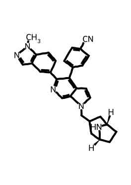 Cn1ncc2cc(-c3ncc4c(ccn4CC4C[C@H]5CC[C@@H](C4)N5)c3-c3ccc(C#N)cc3)ccc21